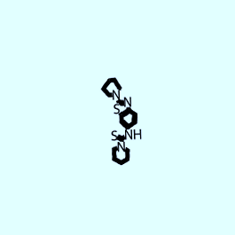 S=C(Nc1ccc2nc(N3CCCCC3)sc2c1)N1CCCCC1